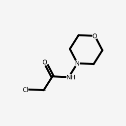 O=C([CH]Cl)NN1CCOCC1